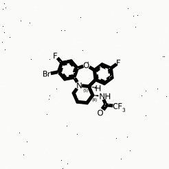 O=C(N[C@@H]1CCCN2c3cc(Br)c(F)cc3Oc3cc(F)ccc3[C@@H]12)C(F)(F)F